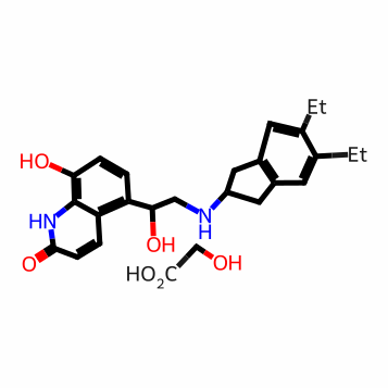 CCc1cc2c(cc1CC)CC(NCC(O)c1ccc(O)c3[nH]c(=O)ccc13)C2.O=C(O)CO